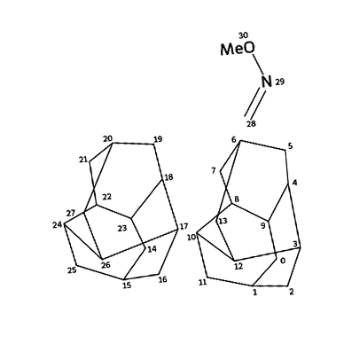 C1C2CC3C4CC5CC(C14)C(C2)C3C5.C1C2CC3C4CC5CC(C14)C(C2)C3C5.C=NOC